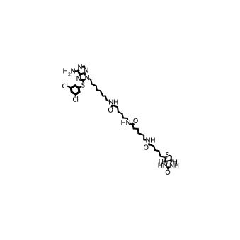 Nc1ncnc2c1nc(Sc1cc(Cl)cc(Cl)c1)n2CCCCCCCCNC(=O)CCCCCNC(=O)CCCCCNC(=O)CCCC[C@H]1SC[C@@H]2NC(=O)N[C@@H]21